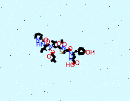 CC[C@H](C)[C@H](NC(=O)[C@H]1CCCCN1C)C(=O)N(COC(=O)CC(C)C)C(C[C@@H](OC(C)=O)c1nc(C(=O)N[C@@H](Cc2ccc(O)cc2)C[C@H](C)C(=O)O)cs1)C(C)C